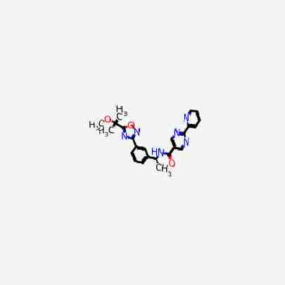 COC(C)(C)c1nc(-c2cccc([C@H](C)NC(=O)c3cnc(-c4ccccn4)nc3)c2)no1